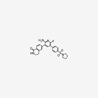 Nc1nc(F)c(-c2ccc(S(=O)(=O)N3CCCC3)cc2)cc1-c1ccc2c(c1)CCNC2=O